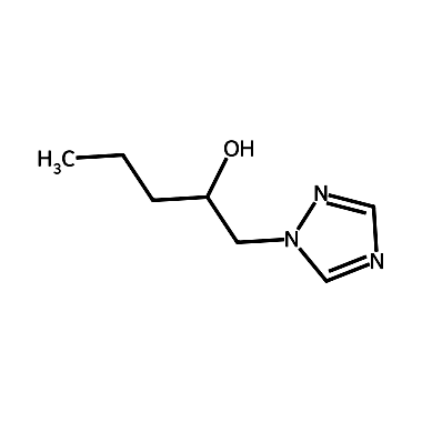 CCCC(O)Cn1cncn1